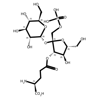 N[C@@H](CCC(=O)O[C@H]1[C@H](O)[C@@H](CO)O[C@@]1(COP(=O)(O)O)O[C@H]1O[C@H](CO)[C@@H](O)[C@H](O)[C@H]1O)C(=O)O